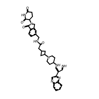 N=C/C(=C\NC1CCN(C2CC(CC(=O)NCc3ccc4c(c3)CN(C3CCC(=O)NC3=O)C4=O)C2)CC1)c1cnc2ccccc2n1